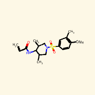 C=CC(=O)NC1C(C)CN(S(=O)(=O)c2ccc(OC)c(C)c2)CC1C